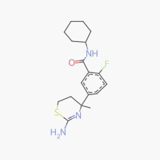 CC1(c2ccc(F)c(C(=O)NC3CCCCC3)c2)CCSC(N)=N1